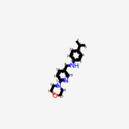 CC(C)c1ccc(NCc2ccc(N3CCOCC3)nc2)cc1